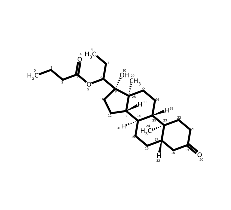 CCCC(=O)OC(CC)[C@]1(O)CC[C@H]2[C@@H]3CC[C@H]4CC(=O)CC[C@]4(C)[C@H]3CC[C@@]21C